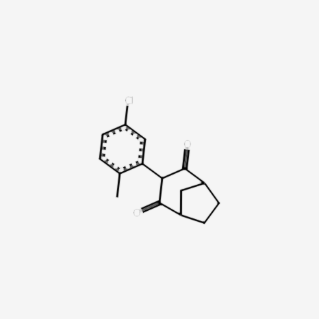 Cc1ccc(Cl)cc1C1C(=O)C2CCC(C2)C1=O